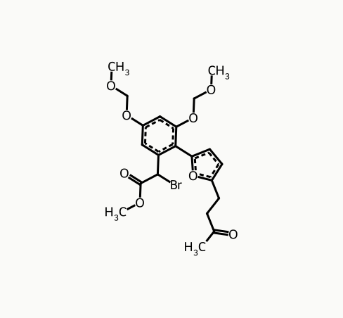 COCOc1cc(OCOC)c(-c2ccc(CCC(C)=O)o2)c(C(Br)C(=O)OC)c1